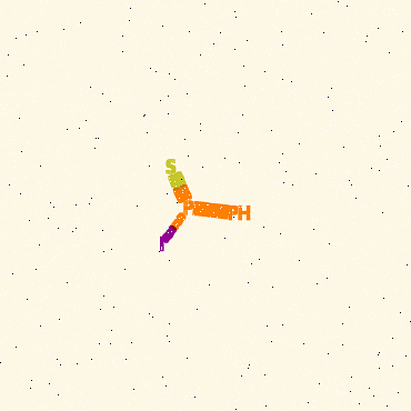 P=P(=S)I